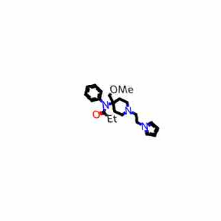 CCC(=O)N(c1ccccc1)C1(COC)CCN(CCn2cccc2)CC1